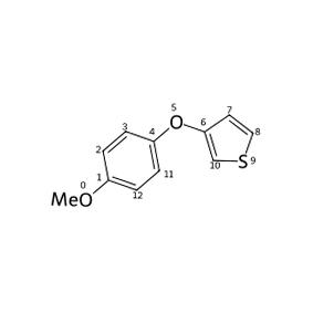 COc1ccc(Oc2ccsc2)cc1